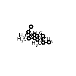 Cc1ccc(C)c(N(c2cc(-c3ccccc3)ccc2C)c2ccc3cc4c5c(ccc6ccc2c3c65)N(c2cc(-c3ccccc3)ccc2C)c2cc(C)ccc2-4)c1